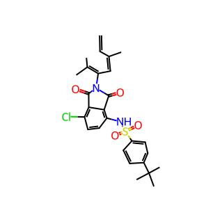 C=C/C(C)=C\C(=C(C)C)N1C(=O)c2c(Cl)ccc(NS(=O)(=O)c3ccc(C(C)(C)C)cc3)c2C1=O